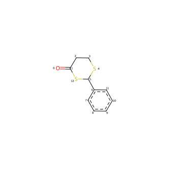 O=C1CCSC(c2ccccc2)S1